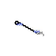 [SiH3]CNCCCCCCCCCCNCc1ccccc1